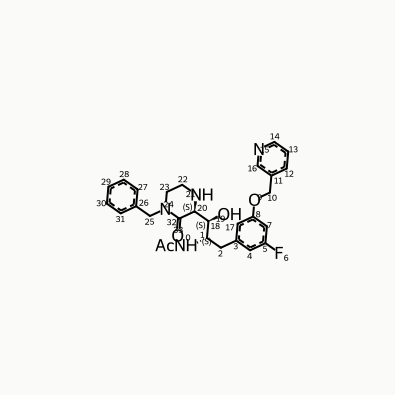 CC(=O)N[C@@H](Cc1cc(F)cc(OCc2cccnc2)c1)[C@H](O)[C@@H]1NCCN(Cc2ccccc2)C1=O